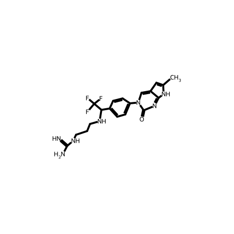 Cc1cc2cn(-c3ccc(C(NCCCNC(=N)N)C(F)(F)F)cc3)c(=O)nc2[nH]1